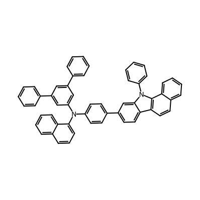 c1ccc(-c2cc(-c3ccccc3)cc(N(c3ccc(-c4ccc5c6ccc7ccccc7c6n(-c6ccccc6)c5c4)cc3)c3cccc4ccccc34)c2)cc1